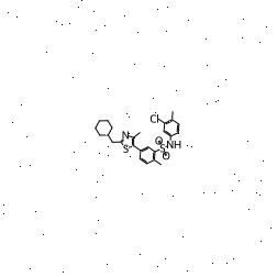 Cc1ccc(NS(=O)(=O)c2cc(-c3sc(CC4CCCCC4)nc3C)ccc2C)cc1Cl